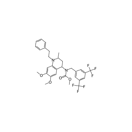 COC(=O)N(Cc1cc(C(F)(F)F)cc(C(F)(F)F)c1)C1CC(C)N(CCc2ccccc2)c2cc(OC)c(OC)cc21